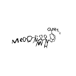 COc1ccc(C2(N(C)c3c(Cl)c(C(=O)NC4C5CC6CC4CC(C(N)=O)(C6)C5)nn3C)CC2)cc1